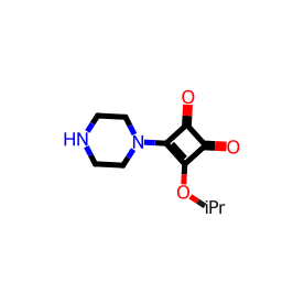 CC(C)Oc1c(N2CCNCC2)c(=O)c1=O